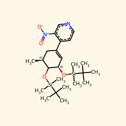 C[C@H]1CC(c2ccncc2[N+](=O)[O-])=C[C@@H](O[Si](C)(C)C(C)(C)C)C1O[Si](C)(C)C(C)(C)C